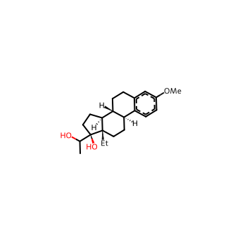 CC[C@]12CC[C@@H]3c4ccc(OC)cc4CC[C@H]3[C@@H]1CC[C@@]2(O)C(C)O